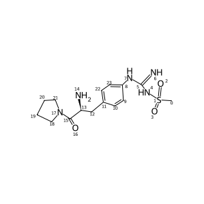 CS(=O)(=O)NC(=N)Nc1ccc(C[C@H](N)C(=O)N2CCCC2)cc1